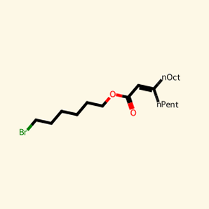 CCCCCCCC/C(=C/C(=O)OCCCCCCBr)CCCCC